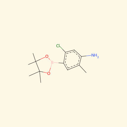 Cc1cc(B2OC(C)(C)C(C)(C)O2)c(Cl)cc1N